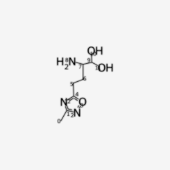 Cc1noc(CCC(N)C(O)O)n1